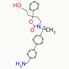 C[C@@H](c1ccc(-c2ccc(CN)cc2)cc1)N1CCC(CCCO)(c2ccccc2)OC1=O